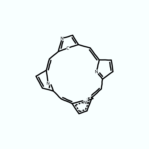 C1=C/C2=C/C3=CN=C(/C=C4/C=CC(=N4)/C=c4/cc/c([nH]4)=C/C1=N2)C3